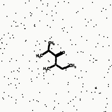 CCN(C)C(=O)C(C)C